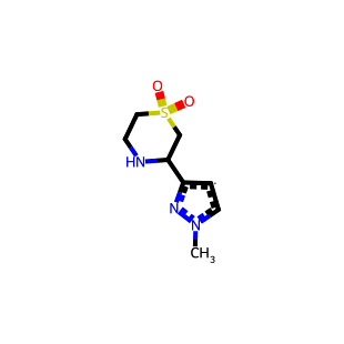 Cn1c[c]c(C2CS(=O)(=O)CCN2)n1